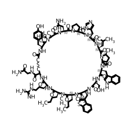 CCCC[C@H]1C(=O)N(C)[C@@H](CCCC)C(=O)N[C@@H](CCCNC(=N)N)C(=O)NC(C(=O)NCC(N)=O)CSCC(=O)N[C@@H](Cc2ccc(O)cc2)C(=O)N(C)[C@@H](C)C(=O)N[C@@H](CC(N)=O)C(=O)N2CCC[C@H]2C(=O)N[C@@H](Cc2cnc[nH]2)C(=O)N[C@@H](CC(C)C)C(=O)N2[C@@H](C)CCC2(C=O)N[C@@H](Cc2c[nH]c3ccccc23)C(=O)N[C@@H](CO)C(=O)N[C@@H](Cc2csc3ccccc23)C(=O)N1C